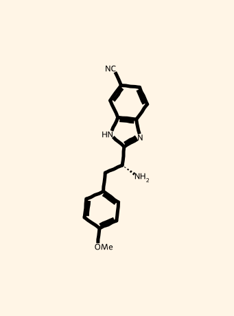 COc1ccc(C[C@@H](N)c2nc3ccc(C#N)cc3[nH]2)cc1